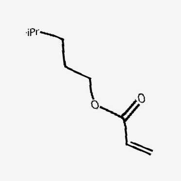 C=CC(=O)OCCC[C](C)C